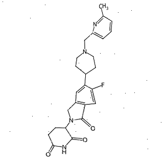 Cc1cccc(CN2CCC(c3cc4c(cc3F)C(=O)N(C3CCC(=O)NC3=O)C4)CC2)n1